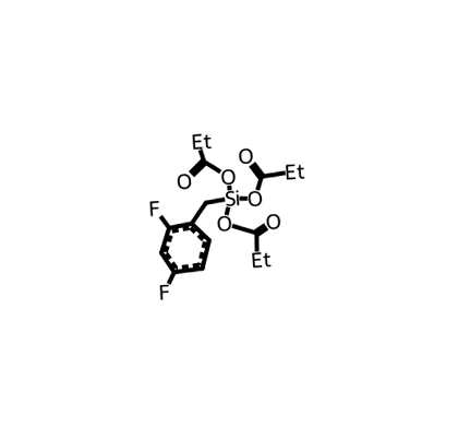 CCC(=O)O[Si](Cc1ccc(F)cc1F)(OC(=O)CC)OC(=O)CC